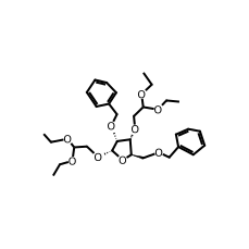 CCOC(CO[C@H]1O[C@H](COCc2ccccc2)[C@@H](OCC(OCC)OCC)[C@H]1OCc1ccccc1)OCC